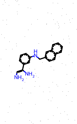 N/C=C(\N)c1cccc(NCc2ccc3ccccc3c2)c1